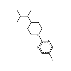 CC(C)C(C)C1CCN(c2ncc(Cl)cn2)CC1